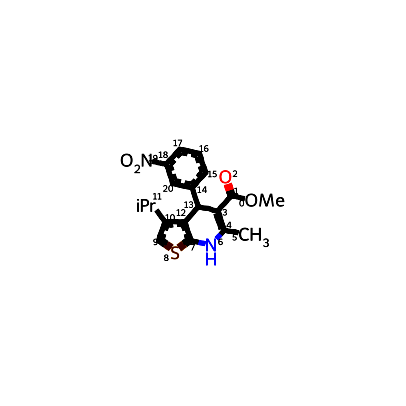 COC(=O)C1=C(C)Nc2scc(C(C)C)c2C1c1cccc([N+](=O)[O-])c1